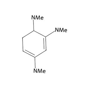 CNC1=CCC(NC)C(NC)=C1